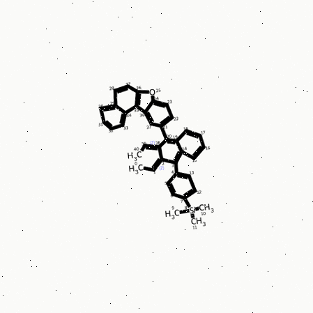 C/C=c1/c(-c2ccc([Si](C)(C)C)cc2)c2ccccc2c(-c2ccc3oc4ccc5ccccc5c4c3c2)/c1=C/C